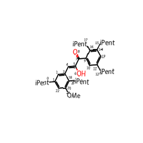 CCCC(C)c1cc(C=C(O)C(=O)c2cc(C(C)CCC)cc(C(C)CCC)c2C(C)CCC)c(C(C)CCC)c(OC)c1